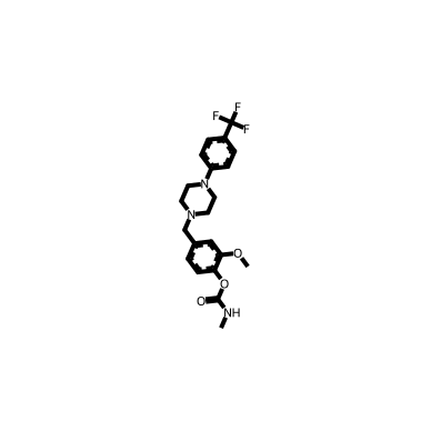 CNC(=O)Oc1ccc(CN2CCN(c3ccc(C(F)(F)F)cc3)CC2)cc1OC